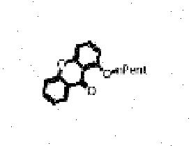 CCCCCOc1cccc2oc3ccccc3c(=O)c12